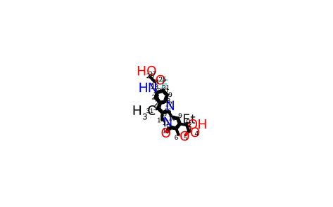 CC[C@@]1(O)C(=O)OCc2c1cc1n(c2=O)Cc2c-1nc1cc(F)c(NC(=O)CO)cc1c2C